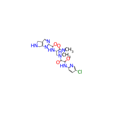 CN(C)C(=O)C(CNC(=O)C(=O)Nc1ccc(Cl)cn1)NC(=O)c1ncc2c(n1)CNC2